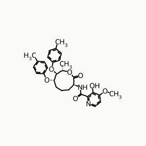 COc1ccnc(C(=O)N[C@H]2CCC[C@H](Oc3ccc(C)cc3)[C@@H](Oc3ccc(C)cc3)[C@H](C)OC2=O)c1O